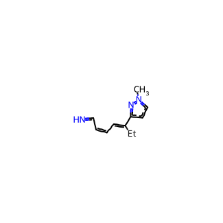 CC/C(=C\C=C/C=N)c1ccn(C)n1